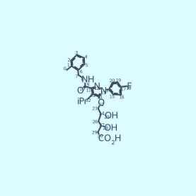 Cc1ccccc1CNC(=O)c1nn(-c2ccc(F)cc2)c(OC[C@H](O)C[C@@H](O)CC(=O)O)c1C(C)C